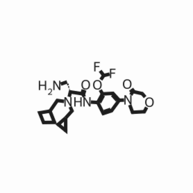 NC[C@H](C(=O)Nc1ccc(N2CCOCC2=O)cc1OC(F)F)N(CC1CCC1)CC1CC1